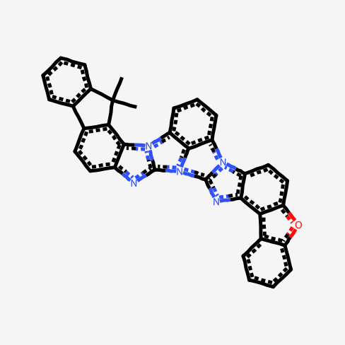 CC1(C)c2ccccc2-c2ccc3nc4n(c5cccc6c5n4c4nc5c7c(ccc5n64)oc4ccccc47)c3c21